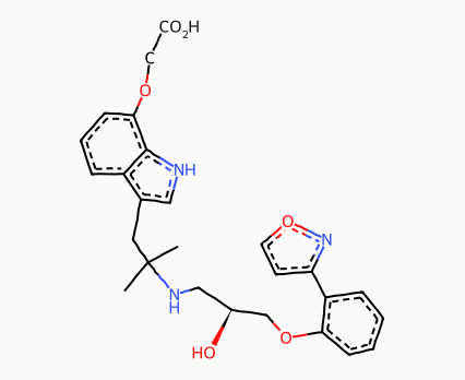 CC(C)(Cc1c[nH]c2c(OCC(=O)O)cccc12)NC[C@H](O)COc1ccccc1-c1ccon1